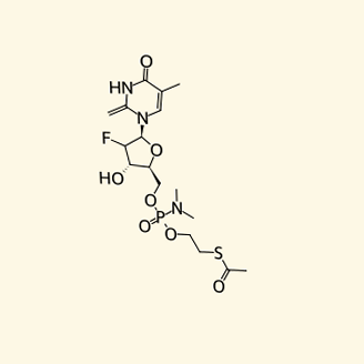 C=C1NC(=O)C(C)=CN1[C@H]1O[C@@H](COP(=O)(OCCSC(C)=O)N(C)C)[C@H](O)C1F